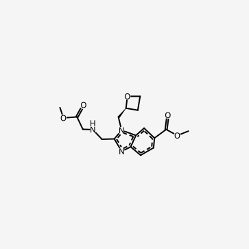 COC(=O)CNCc1nc2ccc(C(=O)OC)cc2n1C[C@@H]1CCO1